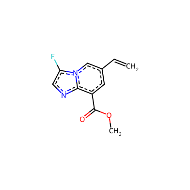 C=Cc1cc(C(=O)OC)c2ncc(F)n2c1